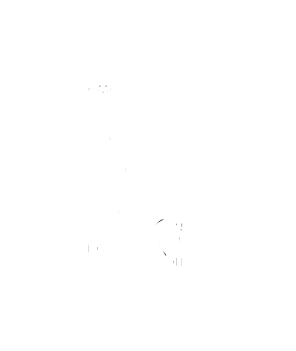 COCCOCOc1ccc2c3c1OC1C(O)CC[C@@]4(O)C(C2)N(C)CC[C@]314